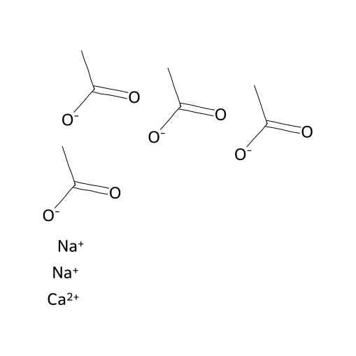 CC(=O)[O-].CC(=O)[O-].CC(=O)[O-].CC(=O)[O-].[Ca+2].[Na+].[Na+]